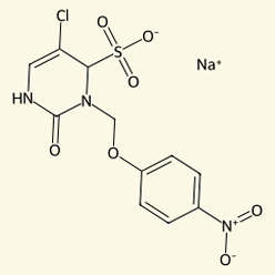 O=C1NC=C(Cl)C(S(=O)(=O)[O-])N1COc1ccc([N+](=O)[O-])cc1.[Na+]